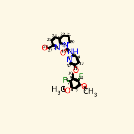 COc1cc(OC)c(F)c(COc2ccc(NC(=O)N3CCCc4ccc(C=O)nc43)nc2)c1F